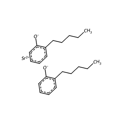 CCCCCc1ccccc1[O-].CCCCCc1ccccc1[O-].[Sr+2]